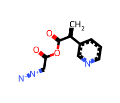 C=C(C(=O)OC(=O)C=[N+]=[N-])c1cccnc1